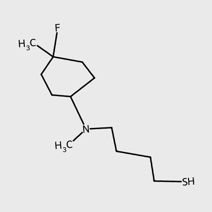 CN(CCCCS)C1CCC(C)(F)CC1